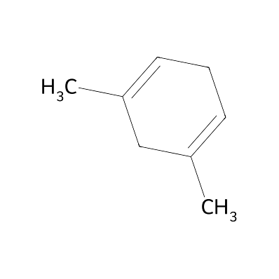 CC1=CCC=C(C)C1